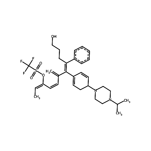 C=C(/C=C\C(=C/C)OS(=O)(=O)C(F)(F)F)/C(C1=CCC(N2CCN(C(C)C)CC2)C=C1)=C(\CCCO)c1ccccc1